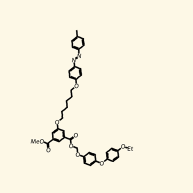 CCOc1ccc(Oc2ccc(OCOC(=O)c3cc(OCCCCCCOc4ccc(/N=N/c5ccc(C)cc5)cc4)cc(C(=O)OC)c3)cc2)cc1